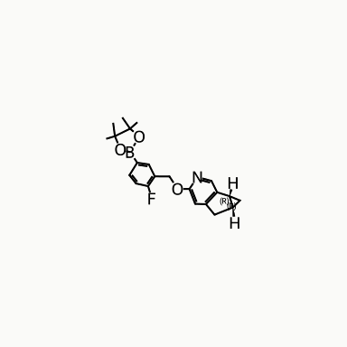 CC1(C)OB(c2ccc(F)c(COc3cc4c(cn3)[C@@H]3C[C@@H]3C4)c2)OC1(C)C